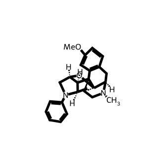 COc1ccc2c(c1)[C@]13CCN(C)[C@H](C2)[C@]12CC[C@@H]1[C@H]3[C@@H](CN1c1ccccc1)O2